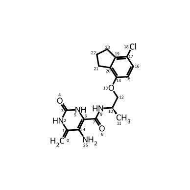 C=C1NC(=O)NC(C(=O)N[C@H](C)COc2ccc(Cl)c3c2CCC3)=C1N